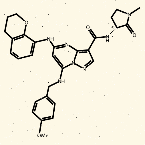 COc1ccc(CNc2cc(Nc3cccc4c3OCCC4)nc3c(C(=O)N[C@@H]4CCN(C)C4=O)cnn23)cc1